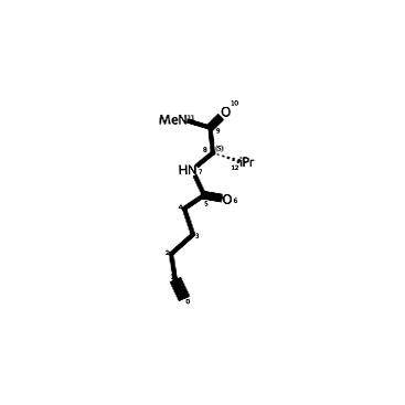 C#CCCCC(=O)N[C@H](C(=O)NC)C(C)C